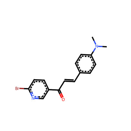 CN(C)c1ccc(/C=C/C(=O)c2ccc(Br)nc2)cc1